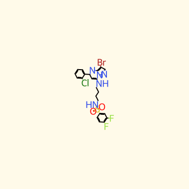 O=S(=O)(NCCCCNc1cc(-c2ccccc2Cl)nc2c(Br)cnn12)c1ccc(F)c(F)c1